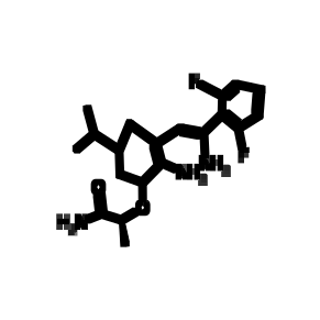 CC(C)C1CC(/C=C(\N)c2c(F)cccc2F)=C(N)C(O[C@@H](C)C(N)=O)C1